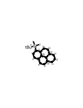 CC(C)(C)[Si](C)(C)c1ccc2ccc3cccc4ccc1c2c34